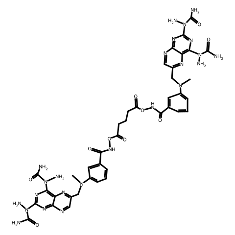 CN(Cc1cnc2nc(N(N)C(N)=O)nc(N(N)C(N)=O)c2n1)c1cccc(C(=O)NOC(=O)CCCC(=O)ONC(=O)c2cccc(N(C)Cc3cnc4nc(N(N)C(N)=O)nc(N(N)C(N)=O)c4n3)c2)c1